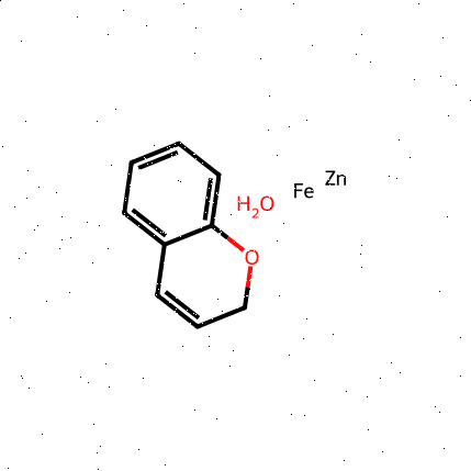 C1=Cc2ccccc2OC1.O.[Fe].[Zn]